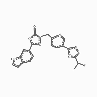 O=c1oc(-c2ccc3cc[nH]c3c2)nn1Cc1ccc(-c2nnc(C(F)F)o2)cn1